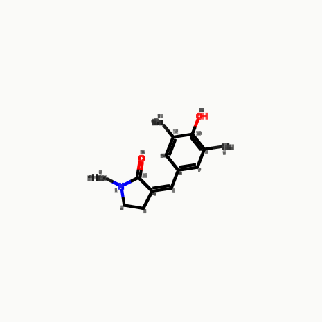 CCCCCCN1CCC(=Cc2cc(C(C)(C)C)c(O)c(C(C)(C)C)c2)C1=O